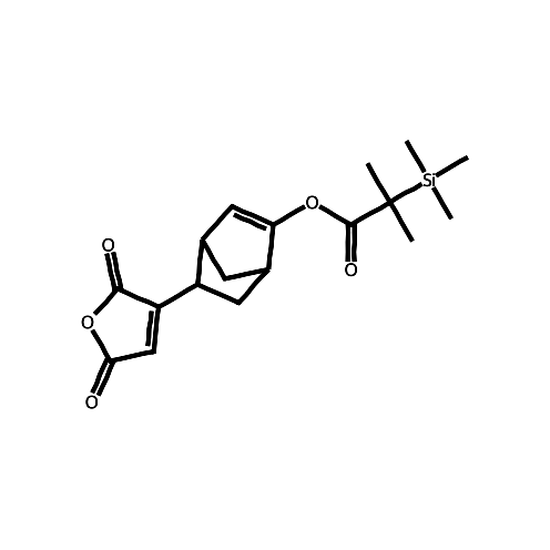 CC(C)(C(=O)OC1=CC2CC1CC2C1=CC(=O)OC1=O)[Si](C)(C)C